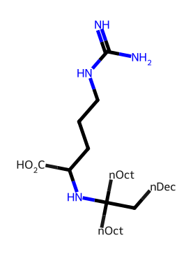 CCCCCCCCCCCC(CCCCCCCC)(CCCCCCCC)NC(CCCNC(=N)N)C(=O)O